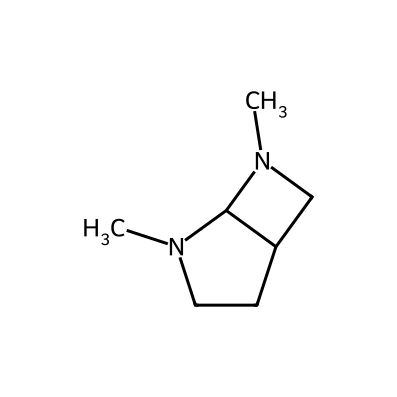 CN1CCC2CN(C)C21